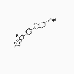 CCCCCCCC1CCC2CC(c3ccc(-c4cc(F)c(OC(F)(F)C(F)F)c(F)c4)cc3)CCC2C1